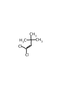 CC(C)(C)C=C(Cl)Cl